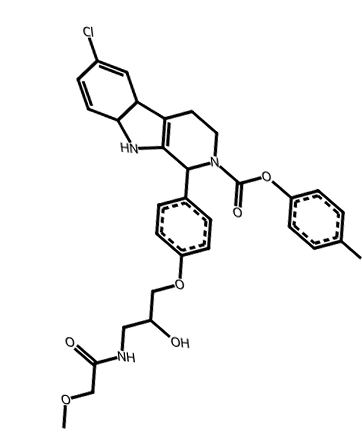 COCC(=O)NCC(O)COc1ccc(C2C3=C(CCN2C(=O)Oc2ccc(Cl)cc2)C2C=C(Cl)C=CC2N3)cc1